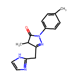 Cc1ccc(N2N=C(Cc3ncc[nH]3)C(C)C2=O)cc1